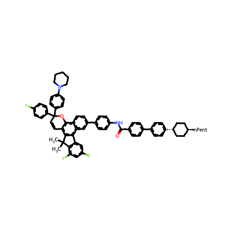 CCCCC[C@H]1CC[C@H](c2ccc(-c3ccc(C(=O)Nc4ccc(-c5ccc6c7c(c8c(c6c5)-c5cc(F)cc(F)c5C8(C)C)C=CC(c5ccc(F)cc5)(c5ccc(N6CCCCC6)cc5)O7)cc4)cc3)cc2)CC1